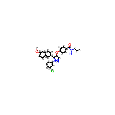 CCCNC(=O)c1ccc(Oc2cnn(-c3cccc(Cl)c3)c2-c2ccc3cc(OC)ccc3c2)cc1